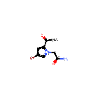 COC(=O)c1cc(Br)cn1CC(N)=O